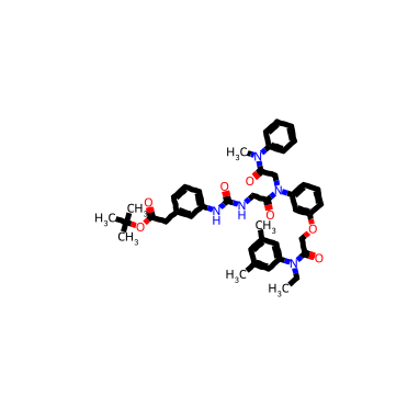 CCN(C(=O)COc1cccc(N(CC(=O)N(C)c2ccccc2)C(=O)CNC(=O)Nc2cccc(CC(=O)OC(C)(C)C)c2)c1)c1cc(C)cc(C)c1